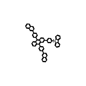 c1ccc2cc(-c3ccc(-c4c5ccccc5c(-c5ccc(-c6ccc7ccccc7c6)cc5)c5cc(-c6ccc(-n7c8ccccc8c8ccccc87)cc6)ccc45)cc3)ccc2c1